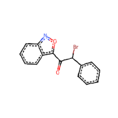 O=C(c1onc2ccccc12)C(Br)c1ccccc1